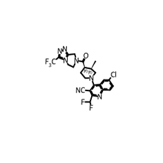 C[C@H]1CN(c2c(C#N)c(C(F)F)nc3ccc(Cl)cc23)CC[C@H]1C(=O)N1CCn2c(nnc2C(F)(F)F)C1